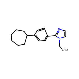 O=CCn1ccnc1-c1ccc(C2CCCCCC2)cc1